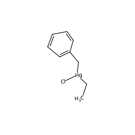 C[CH2][Hg]([Cl])[CH2]c1ccccc1